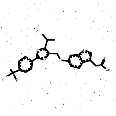 CC(C)c1nc(-c2ccc(C(F)(F)F)cc2)oc1COc1ccc2c(CC(=O)O)coc2c1